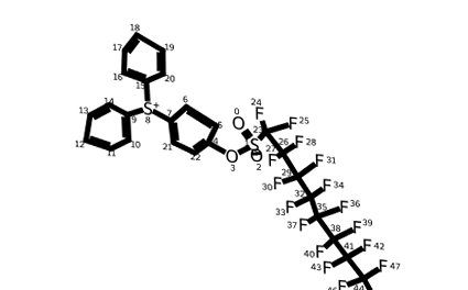 O=S(=O)(Oc1ccc([S+](c2ccccc2)c2ccccc2)cc1)C(F)(F)C(F)(F)C(F)(F)C(F)(F)C(F)(F)C(F)(F)C(F)(F)C(F)(F)F